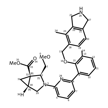 COC[C@H]1N(c2cccc(-c3cccc(C)c3OCc3ccc4c(c3C)CNC4)n2)C[C@@H]2C[C@@]21C(=O)OC